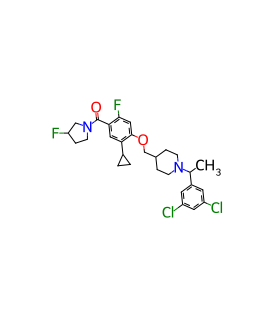 CC(c1cc(Cl)cc(Cl)c1)N1CCC(COc2cc(F)c(C(=O)N3CCC(F)C3)cc2C2CC2)CC1